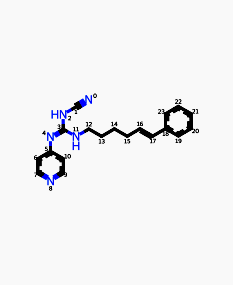 N#CN/C(=N/c1ccncc1)NCCCCC=Cc1ccccc1